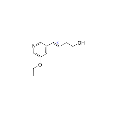 CCOc1cncc(/C=C/CCO)c1